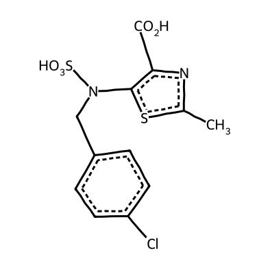 Cc1nc(C(=O)O)c(N(Cc2ccc(Cl)cc2)S(=O)(=O)O)s1